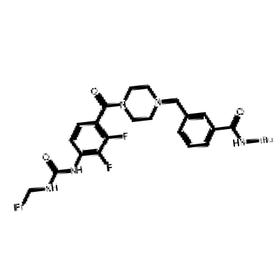 CC(C)CNC(=O)Nc1ccc(C(=O)N2CCN(Cc3cccc(C(=O)NC(C)(C)C)c3)CC2)c(F)c1F